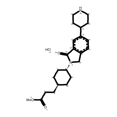 COC(=O)CC[C@H]1CC[C@H](N2Cc3ccc(C4CCNCC4)cc3C2=O)CC1.Cl